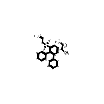 C=CCS(=O)(=O)c1cccc(-c2ccccc2)c1-c1ccccc1.CCCC.S